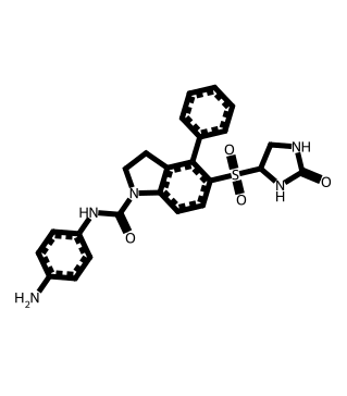 Nc1ccc(NC(=O)N2CCc3c2ccc(S(=O)(=O)C2CNC(=O)N2)c3-c2ccccc2)cc1